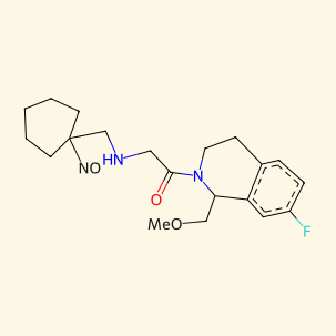 COCC1c2cc(F)ccc2CCN1C(=O)CNCC1(N=O)CCCCC1